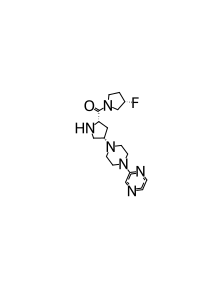 O=C([C@@H]1C[C@H](N2CCN(c3cnccn3)CC2)CN1)N1CC[C@H](F)C1